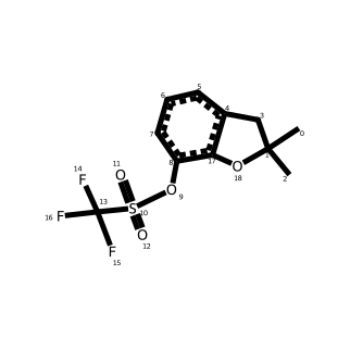 CC1(C)Cc2cccc(OS(=O)(=O)C(F)(F)F)c2O1